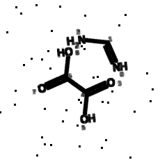 N=CN.O=C(O)C(=O)O